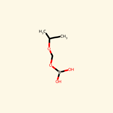 CC(C)OCOB(O)O